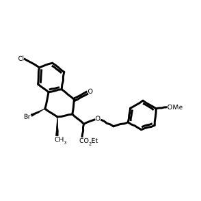 CCOC(=O)C(OCc1ccc(OC)cc1)C1C(=O)c2ccc(Cl)cc2[C@H](Br)[C@@H]1C